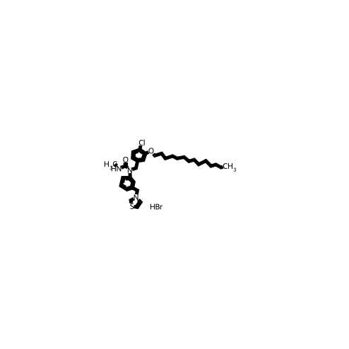 Br.CCCCCCCCCCCCCCOc1cc(CN(C(=O)NC)c2cccc(CN3C=CSC3)c2)ccc1Cl